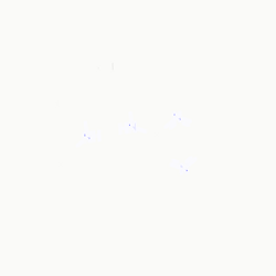 CC(CNc1cnc2ccccc2n1)C(C)NC(=O)O